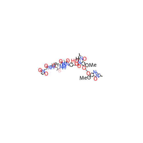 C=C1CC2C=Nc3cc(OCCCOc4cc5c(cc4OC)C(=O)N4CC(=C)C[C@H]4C(O)N5C(=O)OCc4ccc(NC(=O)[C@H](C)NC(=O)[C@@H](NC5=BC5(C)CCOC(C)(C)CNC(=O)CCN5C(=O)C=CC5=O)C(C)C)cc4)c(OC)cc3C(=O)N2C1